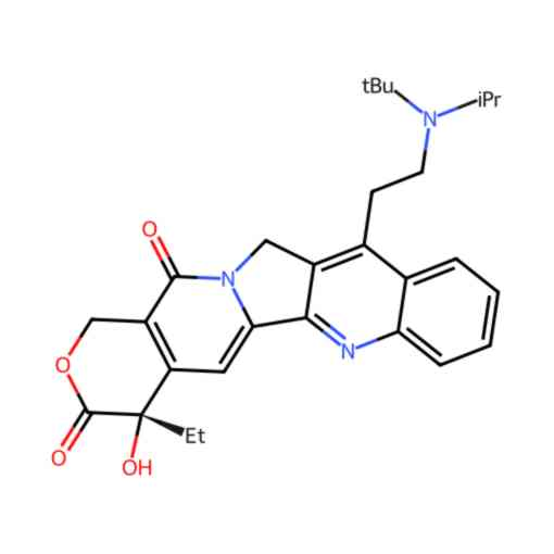 CC[C@@]1(O)C(=O)OCc2c1cc1n(c2=O)Cc2c-1nc1ccccc1c2CCN(C(C)C)C(C)(C)C